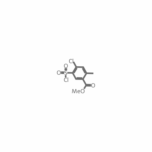 COC(=O)c1cc(S(=O)(=O)Cl)c(Cl)cc1C